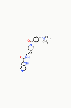 CN(C)Cc1ccc(C(=O)N2CCC3(CC2)CC3CNC(=O)c2cc3cnccc3[nH]2)cc1